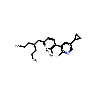 C=C(/C=C\C(=C(C)C)c1cc(C2CC2)cnc1C)CC(CCC)CCC